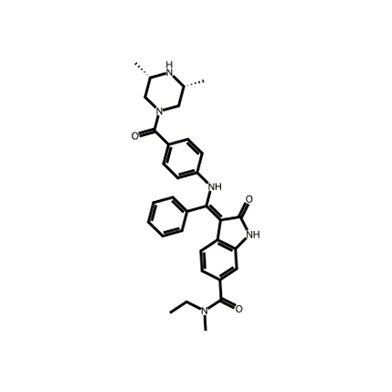 CCN(C)C(=O)c1ccc2c(c1)NC(=O)/C2=C(\Nc1ccc(C(=O)N2C[C@@H](C)N[C@@H](C)C2)cc1)c1ccccc1